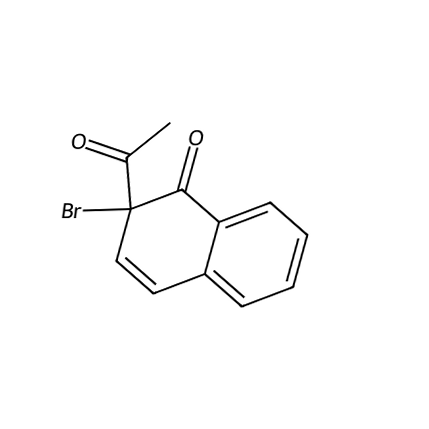 CC(=O)C1(Br)C=Cc2ccccc2C1=O